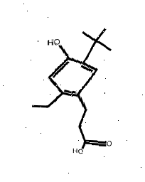 CCc1cc(O)c(C(C)(C)C)cc1CCC(=O)O